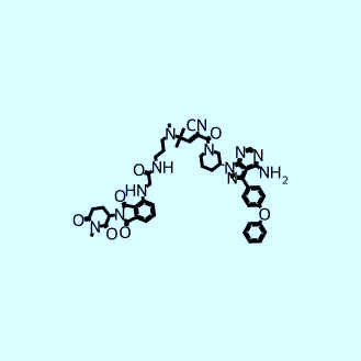 CN1C(=O)CCC(N2C(=O)c3cccc(NCC(=O)NCCCN(C)C(C)(C)/C=C(\C#N)C(=O)N4CCC[C@@H](n5nc(-c6ccc(Oc7ccccc7)cc6)c6c(N)ncnc65)C4)c3C2=O)C1=O